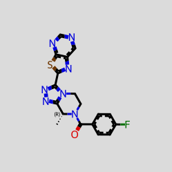 C[C@@H]1c2nnc(-c3nc4cncnc4s3)n2CCN1C(=O)c1ccc(F)cc1